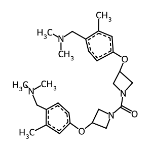 Cc1cc(OC2CN(C(=O)N3CC(Oc4ccc(CN(C)C)c(C)c4)C3)C2)ccc1CN(C)C